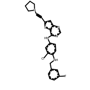 Fc1cccc(CNc2ccc(Nc3ncnc4cc(C#CN5CCCC5)sc34)cc2Cl)c1